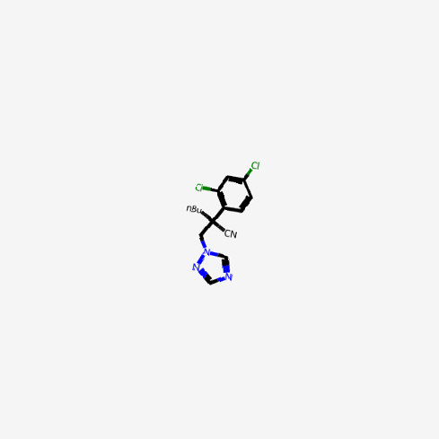 CCCCC(C#N)(Cn1cncn1)c1ccc(Cl)cc1Cl